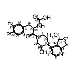 C[C@@H]1SCc2ncnc(N3CCN(C(=O)[C@@H](Cc4ccc(F)c(F)c4)NC(=O)O)C[C@@H]3C)c21